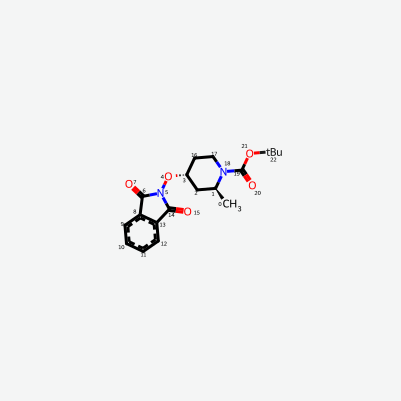 C[C@H]1C[C@H](ON2C(=O)c3ccccc3C2=O)CCN1C(=O)OC(C)(C)C